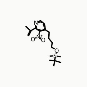 C=C(C)c1nccc(CCCCO[Si](C)(C)C(C)(C)C)c1[N+](=O)[O-]